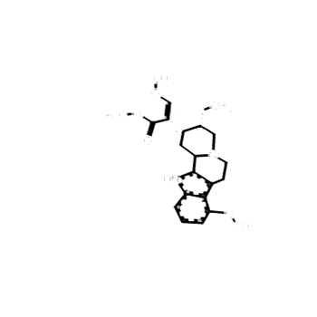 CC[C@@H]1CN2CCc3c([nH]c4cccc(OC)c34)C2C[C@@H]1/C(=C/OC)C(=O)OC